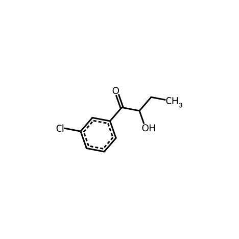 CCC(O)C(=O)c1cccc(Cl)c1